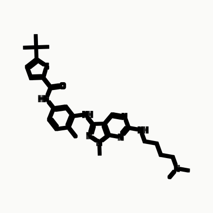 Cc1ccc(NC(=O)c2ccc(C(C)(C)C)s2)cc1Nc1nn(C)c2nc(NCCCCN(C)C)ncc12